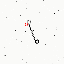 CCC(=O)/C=C/C=C/C(C)=C/C=C/C=C/c1ccccc1